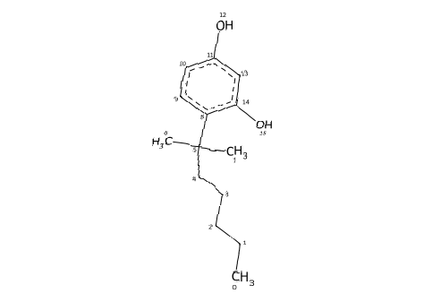 CCCCCC(C)(C)c1ccc(O)cc1O